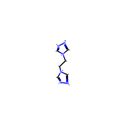 c1nncn1CCn1cnnc1